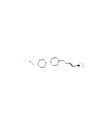 CCC[C@H]1CC[C@H](C2CCC(CCC=CC#N)CC2)CC1